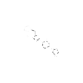 Oc1cc(-n2ccnc2)ccc1-c1nnc(/C=C2/CCC[C@H]2F)s1